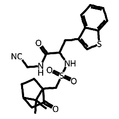 CC1(C)C2CCC1(CS(=O)(=O)NC(Cc1csc3ccccc13)C(=O)NCC#N)C(=O)C2